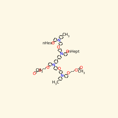 CCCCCCCOc1cccc(N(c2ccc(Oc3cccc(N(c4ccc(C)cc4)c4cccc(OCCCCCC)c4)c3)cc2)c2ccc(-c3ccc(N(c4cccc(OCCCCOCC5(C)COC5)c4)c4cccc(Oc5ccc(N(c6ccc(C)cc6)c6cccc(OCCCCOCC7(C)COC7)c6)cc5)c4)cc3)cc2)c1